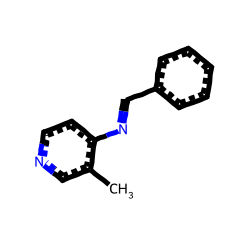 Cc1cnccc1N=Cc1ccccc1